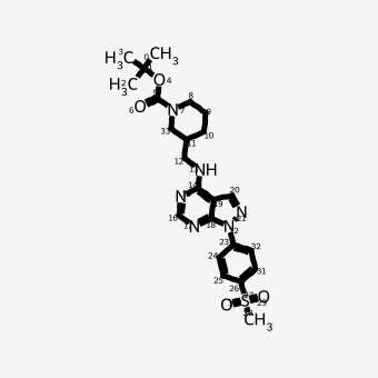 CC(C)(C)OC(=O)N1CCCC(CNc2ncnc3c2cnn3-c2ccc(S(C)(=O)=O)cc2)C1